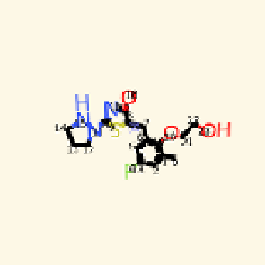 Cc1cc(F)cc(/C=C2\SC(N3CCCN3)=NC2=O)c1OCCO